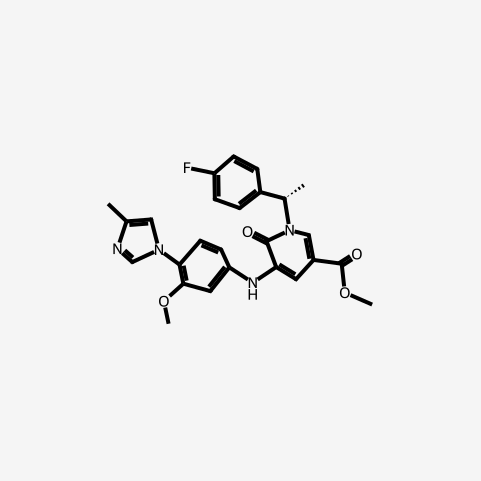 COC(=O)c1cc(Nc2ccc(-n3cnc(C)c3)c(OC)c2)c(=O)n([C@@H](C)c2ccc(F)cc2)c1